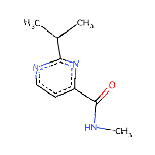 CNC(=O)c1ccnc(C(C)C)n1